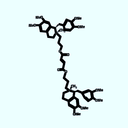 COc1ccc(C[C@H]2c3cc(OC)c(OC)cc3CC[N@@+]2(C)CCCOC(=O)/C=C/C(=O)OCCC[N@+]2(C)CCc3cc(OC)c(OC)cc3[C@@H]2Cc2ccc(OC)c(OC)c2)cc1OC